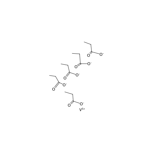 CCC(=O)[O-].CCC(=O)[O-].CCC(=O)[O-].CCC(=O)[O-].CCC(=O)[O-].[V+5]